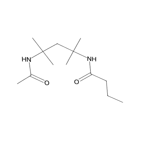 CCCC(=O)NC(C)(C)CC(C)(C)NC(C)=O